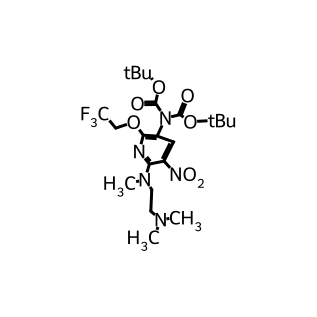 CN(C)CCN(C)c1nc(OCC(F)(F)F)c(N(C(=O)OC(C)(C)C)C(=O)OC(C)(C)C)cc1[N+](=O)[O-]